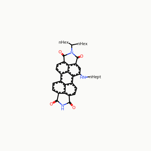 CCCCCCCNc1cc2c3c(ccc4c5ccc6c7c(ccc(c1c34)c75)C(=O)NC6=O)C(=O)N(C(CCCCCC)CCCCCC)C2=O